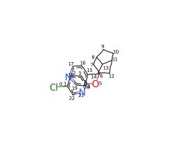 Clc1ccc(OC2CC3CCC(C2)C3Cc2ccncc2)nc1